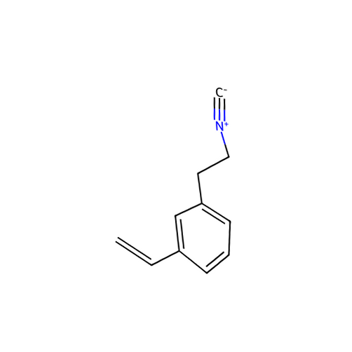 [C-]#[N+]CCc1cccc(C=C)c1